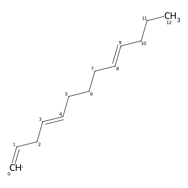 [CH]=CCC=CCCCC=CCCC